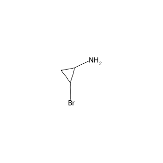 NC1CC1Br